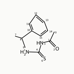 CC(=O)NC(N)=S.CC(C)c1ccccc1